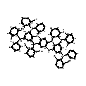 Fc1cccc(F)c1N(c1ccccc1)c1cc2c3c(c1)N(c1c(F)cccc1F)c1ccccc1B3c1cc3c(cc1O2)N(c1c(F)cccc1F)c1cc(N(c2ccccc2)c2c(F)cccc2F)cc2c1B3c1ccccc1N2c1c(F)cccc1F